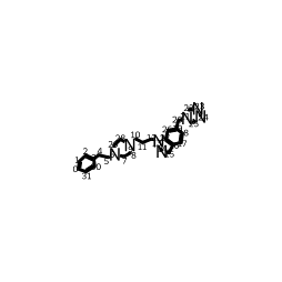 c1ccc(CCN2CCN(CCCn3ncc4ccc(Cn5cnnc5)cc43)CC2)cc1